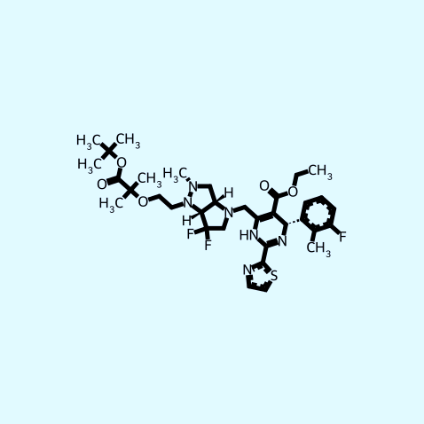 CCOC(=O)C1=C(CN2CC(F)(F)[C@H]3[C@@H]2CN(C)N3CCOC(C)(C)C(=O)OC(C)(C)C)NC(c2nccs2)=N[C@H]1c1cccc(F)c1C